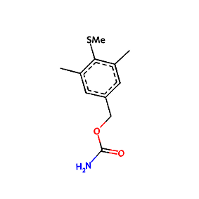 CSc1c(C)cc(COC(N)=O)cc1C